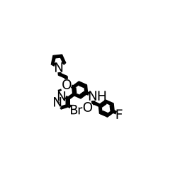 Cn1ncc(Br)c1-c1cc(NC(=O)c2ccc(F)cc2)ccc1OCCN1CCCC1